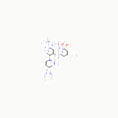 COC(C)c1cc(Nc2cc(NC(C)=O)ncc2-c2ccc(N3CC(C)OC(C)C3)cn2)nc(S(C)(=O)=O)c1